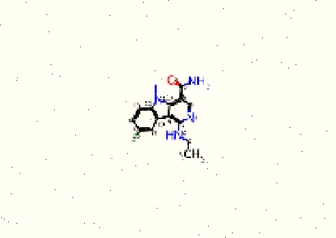 CCNc1ncc(C(N)=O)c2[nH]c3ccc(F)cc3c12